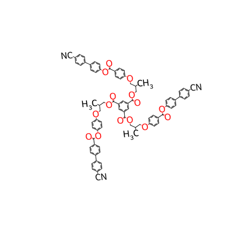 CC(COC(=O)c1cc(C(=O)OCC(C)COc2ccc(C(=O)Oc3ccc(-c4ccc(C#N)cc4)cc3)cc2)cc(C(=O)OCC(C)COc2ccc(C(=O)Oc3ccc(-c4ccc(C#N)cc4)cc3)cc2)c1)COc1ccc(OC(=O)c2ccc(-c3ccc(C#N)cc3)cc2)cc1